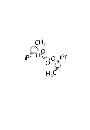 CC(C)[C@@H]1CC[C@@H](C)CC1OC(=O)/C=C/C(=O)OC1C[C@H](C)CC[C@H]1C(C)C